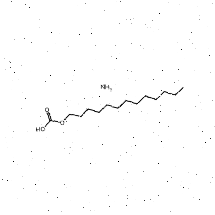 CCCCCCCCCCCCCOC(=O)O.N